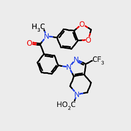 CN(C(=O)c1cccc(-n2nc(C(F)(F)F)c3c2CN(C(=O)O)CC3)c1)c1ccc2c(c1)OCO2